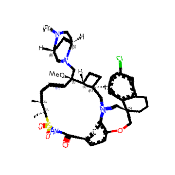 CO[C@]1(CN2C[C@H]3C[C@H]2CN3C(C)C)/C=C/C[C@H](C)[C@@H](C)S(=O)(=O)NC(=O)c2ccc3c(c2)N(C[C@@H]2CC[C@H]21)C[C@@]1(CCCc2cc(Cl)ccc21)CO3